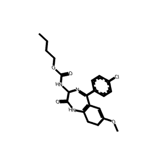 CCCCOC(=O)NC1N=C(c2ccc(Cl)cc2)C2=C(CCC(OC)=C2)NC1=O